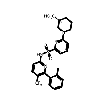 Cc1ccccc1-c1nc(NS(=O)(=O)c2cccc(N3CCC[C@H](C(=O)O)C3)n2)ccc1C(F)(F)F